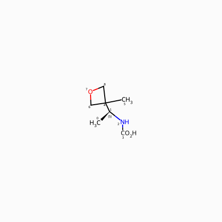 C[C@H](NC(=O)O)C1(C)COC1